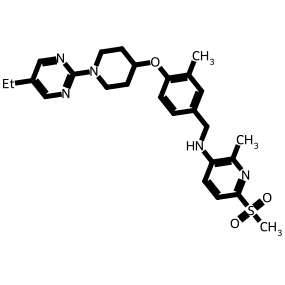 CCc1cnc(N2CCC(Oc3ccc(CNc4ccc(S(C)(=O)=O)nc4C)cc3C)CC2)nc1